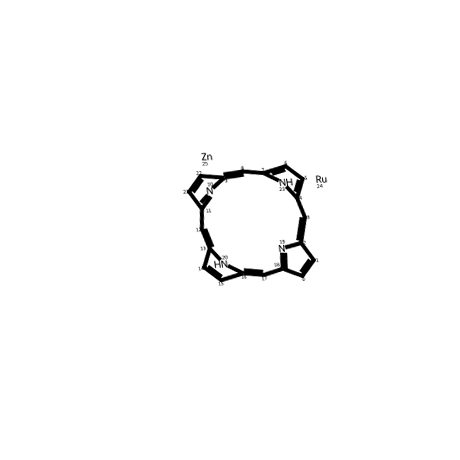 C1=Cc2cc3ccc(cc4nc(cc5ccc(cc1n2)[nH]5)C=C4)[nH]3.[Ru].[Zn]